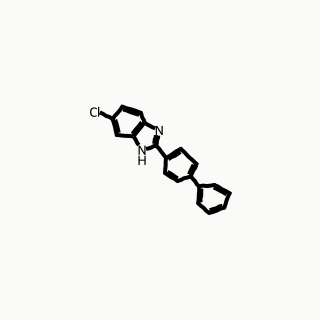 Clc1ccc2nc(-c3ccc(-c4ccccc4)cc3)[nH]c2c1